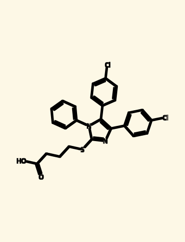 O=C(O)CCCSc1nc(-c2ccc(Cl)cc2)c(-c2ccc(Cl)cc2)n1-c1ccccc1